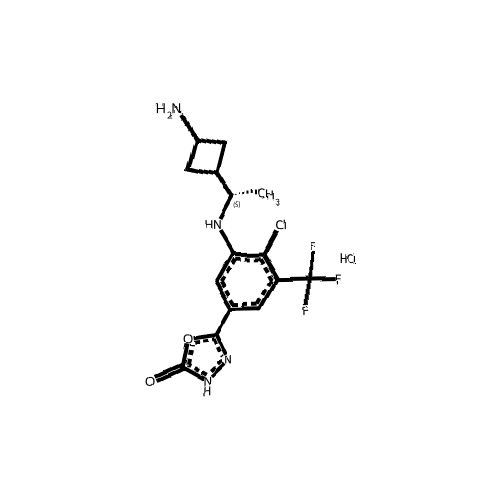 C[C@H](Nc1cc(-c2n[nH]c(=O)o2)cc(C(F)(F)F)c1Cl)C1CC(N)C1.Cl